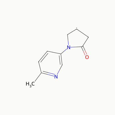 Cc1ccc(N2C[CH]CC2=O)cn1